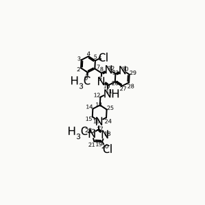 Cc1cccc(Cl)c1-c1nc(NCC2CCN(c3nc(Cl)cn3C)CC2)c2cccnc2n1